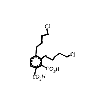 O=C(O)c1ccc(CCCCCl)c(CCCCCl)c1C(=O)O